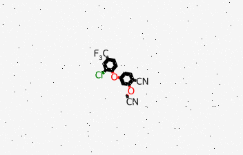 N#CCOc1cc(Oc2ccc(C(F)(F)F)cc2Cl)ccc1C#N